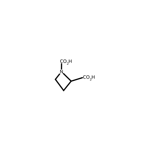 O=C(O)C1CCN1C(=O)O